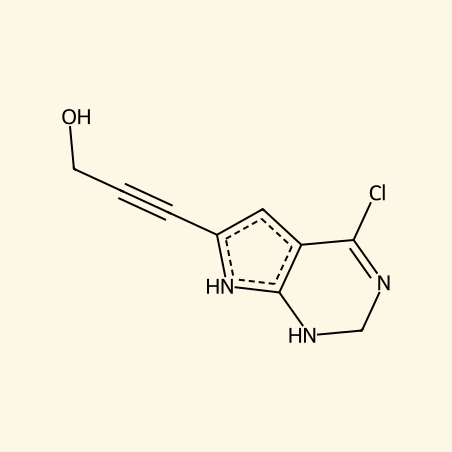 OCC#Cc1cc2c([nH]1)NCN=C2Cl